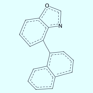 c1ccc2c(-c3cccc4ocnc34)cccc2c1